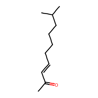 CC(=O)/C=C/CCCCC(C)C